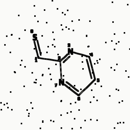 S=[C]c1ncccn1